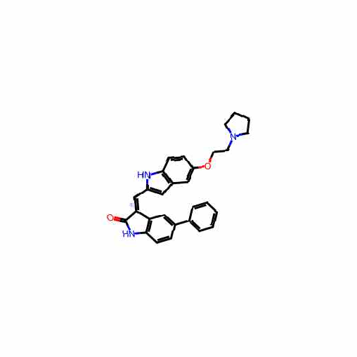 O=C1Nc2ccc(-c3ccccc3)cc2/C1=C\c1cc2cc(OCCN3CCCC3)ccc2[nH]1